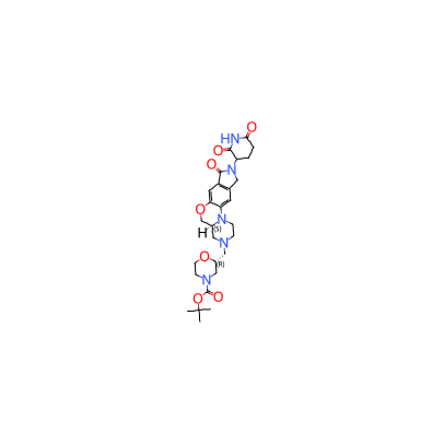 CC(C)(C)OC(=O)N1CCO[C@H](CN2CCN3c4cc5c(cc4OC[C@@H]3C2)C(=O)N(C2CCC(=O)NC2=O)C5)C1